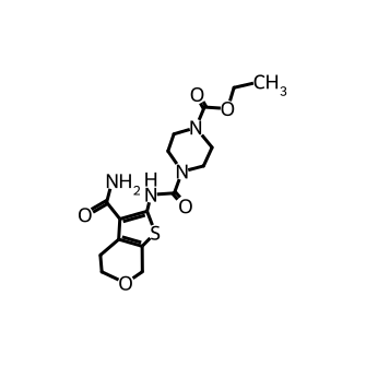 CCOC(=O)N1CCN(C(=O)Nc2sc3c(c2C(N)=O)CCOC3)CC1